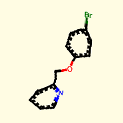 Brc1ccc(OCc2ccccn2)cc1